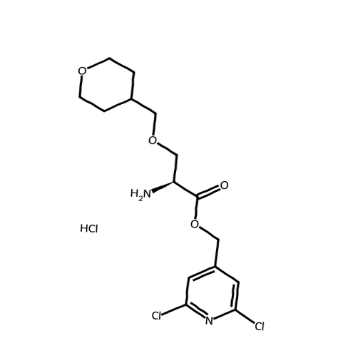 Cl.N[C@@H](COCC1CCOCC1)C(=O)OCc1cc(Cl)nc(Cl)c1